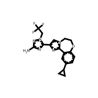 Nc1nc(-c2cn3c(n2)-c2cc(C4CC4)ccc2OCC3)n(CC(F)(F)F)n1